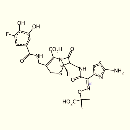 CC(C)(O/N=C(\C(=O)NC1C(=O)N2C(C(=O)O)=C(CNC(=O)c3cc(O)c(O)c(F)c3)CS[C@@H]12)c1csc(N)n1)C(=O)O